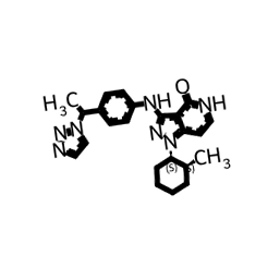 CC(c1ccc(Nc2nn([C@H]3CCCC[C@@H]3C)c3cc[nH]c(=O)c23)cc1)n1ccnn1